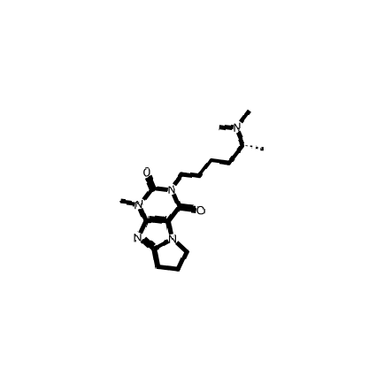 C[C@H](CCCCn1c(=O)c2c(nc3n2CCC3)n(C)c1=O)N(C)C